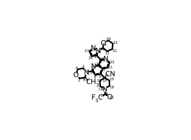 C[C@@H]1COCCN1c1cc(C2(C#N)CCN(C(=O)C(F)(F)F)CC2)c2ccnc(-c3ccnn3C3CCCCO3)c2n1